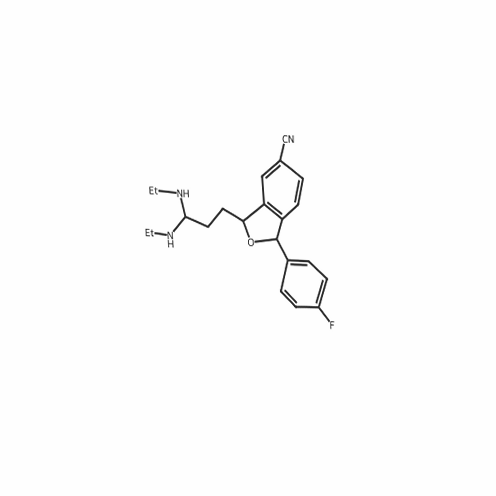 CCNC(CCC1OC(c2ccc(F)cc2)c2ccc(C#N)cc21)NCC